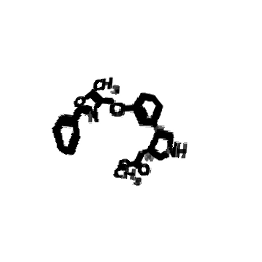 COC(=O)C[C@H]1CNC[C@H]1c1cccc(OCc2nc(-c3ccccc3)oc2C)c1